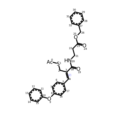 CC(=O)SC/C(=C\c1ccc(Oc2ccccc2)cc1)C(=O)NCCC(=O)OCc1ccccc1